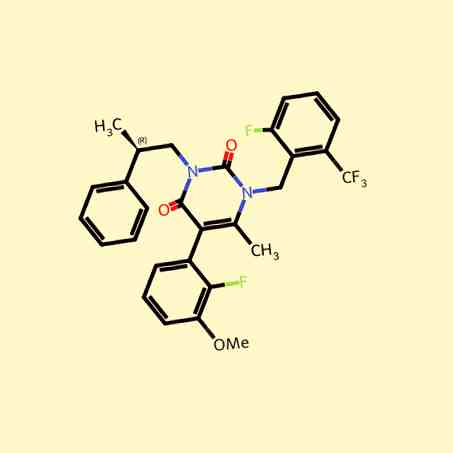 COc1cccc(-c2c(C)n(Cc3c(F)cccc3C(F)(F)F)c(=O)n(C[C@H](C)c3ccccc3)c2=O)c1F